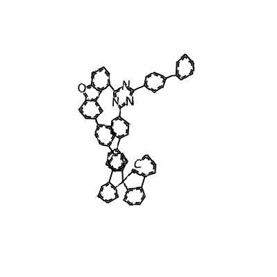 c1ccc(-c2ccc(-c3nc(-c4ccc(-c5ccccc5)cc4)nc(-c4cccc5oc6ccc(-c7ccc(-c8ccc9c(c8)-c8ccccc8C98c9ccccc9-c9ccccc98)cc7)cc6c45)n3)cc2)cc1